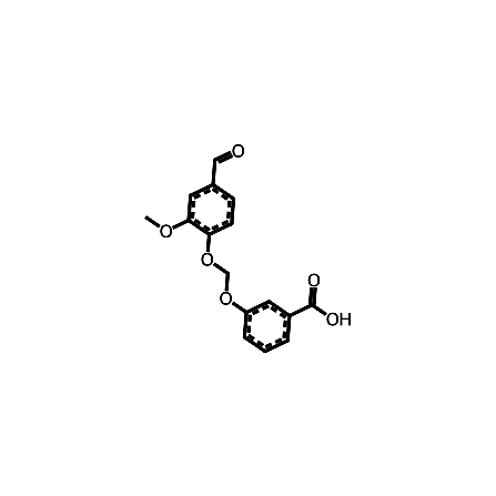 COc1cc(C=O)ccc1OCOc1cccc(C(=O)O)c1